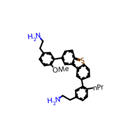 CCCc1ccc(CCN)cc1-c1ccc2sc3ccc(-c4cc(CCN)ccc4OC)cc3c2c1